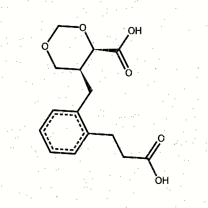 O=C(O)CCc1ccccc1C[C@H]1COCO[C@H]1C(=O)O